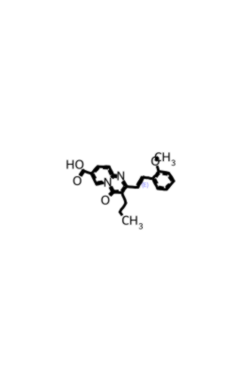 CCCc1c(/C=C/c2ccccc2OC)nc2ccc(C(=O)O)cn2c1=O